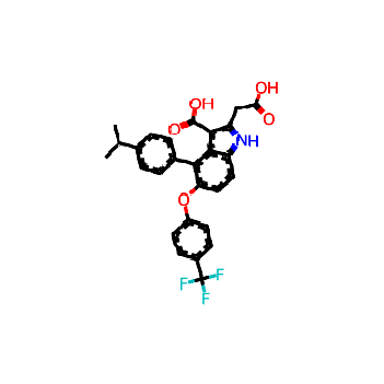 CC(C)c1ccc(-c2c(Oc3ccc(C(F)(F)F)cc3)ccc3[nH]c(CC(=O)O)c(C(=O)O)c23)cc1